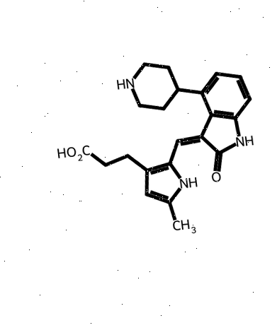 Cc1cc(CCC(=O)O)c(/C=C2\C(=O)Nc3cccc(C4CCNCC4)c32)[nH]1